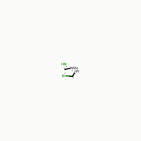 Br.CCCCBr.CNC